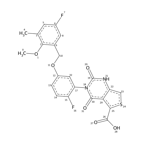 COc1c(C)cc(F)cc1COc1ccc(F)c(-n2c(=O)[nH]c3csc(C(=O)O)c3c2=O)c1